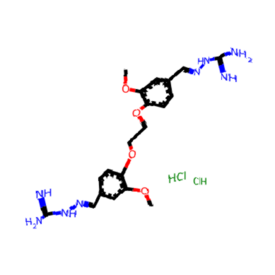 COc1cc(C=NNC(=N)N)ccc1OCCOc1ccc(C=NNC(=N)N)cc1OC.Cl.Cl